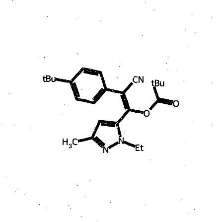 CCn1nc(C)cc1/C(OC(=O)C(C)(C)C)=C(/C#N)c1ccc(C(C)(C)C)cc1